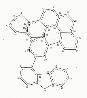 c1ccc(-c2nc(-c3cccc4c3-c3ccccc3C4)nc(-c3cccc4ccc5ccc6ccccc6c5c34)n2)cc1